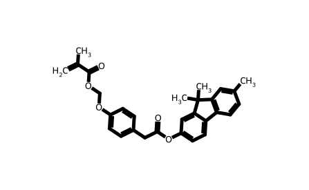 C=C(C)C(=O)OCOc1ccc(CC(=O)Oc2ccc3c(c2)C(C)(C)c2cc(C)ccc2-3)cc1